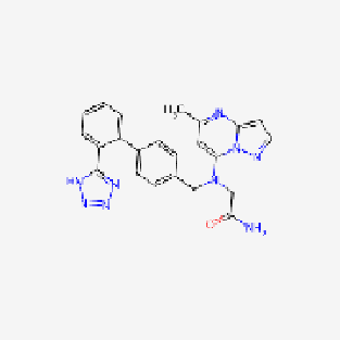 Cc1cc(N(CC(N)=O)Cc2ccc(-c3ccccc3-c3nnn[nH]3)cc2)n2nccc2n1